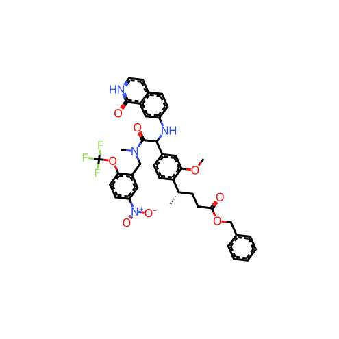 COc1cc(C(Nc2ccc3cc[nH]c(=O)c3c2)C(=O)N(C)Cc2cc([N+](=O)[O-])ccc2OC(F)(F)F)ccc1[C@@H](C)CCC(=O)OCc1ccccc1